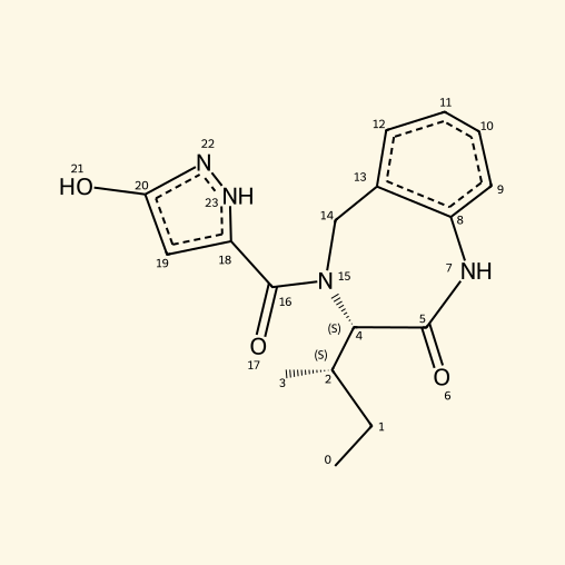 CC[C@H](C)[C@H]1C(=O)Nc2ccccc2CN1C(=O)c1cc(O)n[nH]1